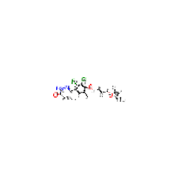 Cc1cc(C2=NNC(=O)CC2C)c(F)c(Cl)c1OCC=CCO[Si](C)(C)C(C)(C)C